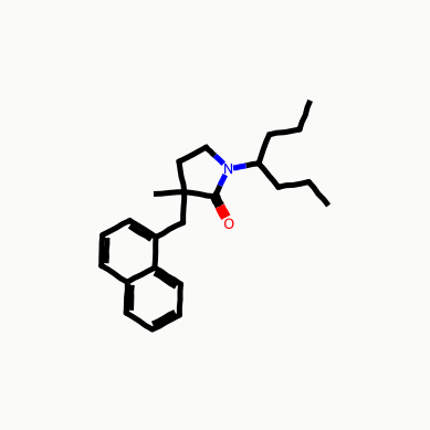 CCCC(CCC)N1CCC(C)(Cc2cccc3ccccc23)C1=O